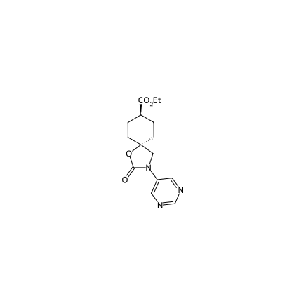 CCOC(=O)[C@H]1CC[C@]2(CC1)CN(c1cncnc1)C(=O)O2